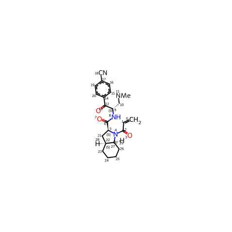 C=CC(=O)N1[C@H](C(=O)N[C@@H](CNC)C(=O)c2ccc(C#N)cc2)C[C@@H]2CCCC[C@@H]21